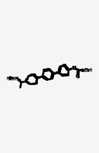 CCCCCCCCC(=O)Oc1ccc(-c2ccc(C3=CCC(C(C)CCCCC)CC3)cc2)cc1